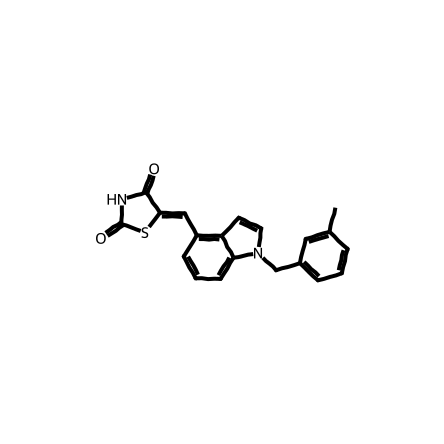 Cc1cccc(Cn2ccc3c(/C=C4\SC(=O)NC4=O)cccc32)c1